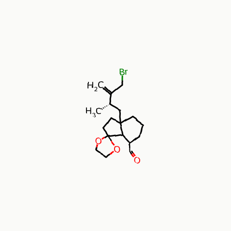 C=C(CBr)[C@@H](C)CC12CCCC(C=O)C1C1(CC2)OCCO1